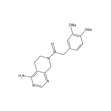 COc1ccc(CC(=O)N2CCc3c(N)ncnc3C2)cc1OC